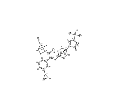 CC(F)(F)c1nc(C23CCC(CN(C(=O)C45CC(F)C(C4)C5)c4cccc(C5CC5)c4)(CC2)CC3)no1